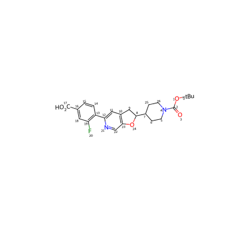 CC(C)(C)OC(=O)N1CCC(C2Cc3cc(-c4ccc(C(=O)O)cc4F)ncc3O2)CC1